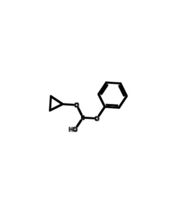 OB(Oc1ccccc1)OC1CC1